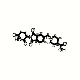 O=C1CCC(N2C(=O)c3ccc(CN4CCC(C(=O)O)CC4)cc3C2=O)C(=O)N1